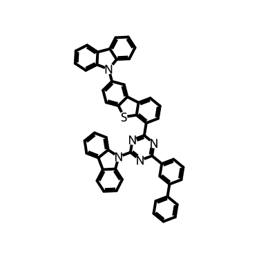 c1ccc(-c2cccc(-c3nc(-c4cccc5c4sc4ccc(-n6c7ccccc7c7ccccc76)cc45)nc(-n4c5ccccc5c5ccccc54)n3)c2)cc1